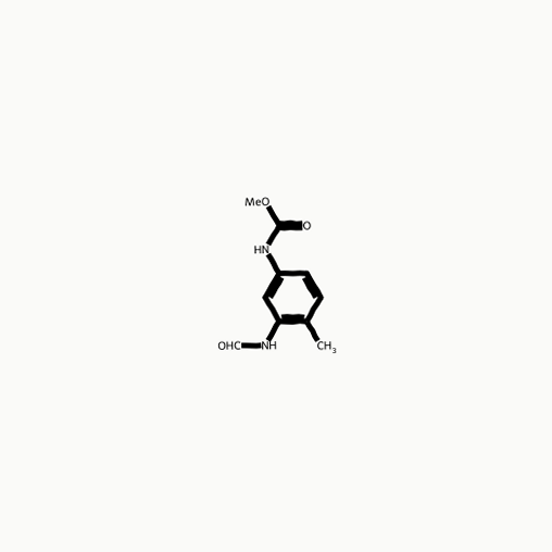 COC(=O)Nc1ccc(C)c(NC=O)c1